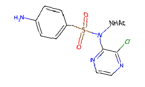 CC(=O)NN(c1nccnc1Cl)S(=O)(=O)c1ccc(N)cc1